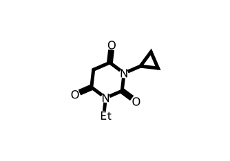 CCN1C(=O)CC(=O)N(C2CC2)C1=O